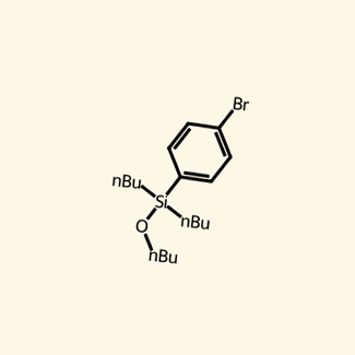 CCCCO[Si](CCCC)(CCCC)c1ccc(Br)cc1